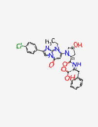 CCn1c(N2C[C@H](O)C[C@H]2C(=O)N[C@@H](Cc2ccccc2)C(=O)O)cc(=O)n2cc(-c3ccc(Cl)cc3)nc12